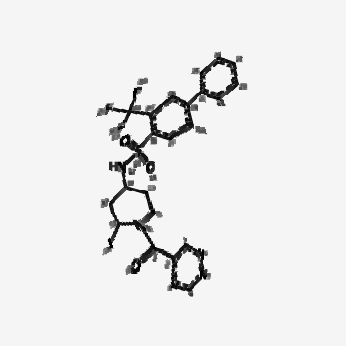 O=C(c1ccnnc1)N1CCC(NS(=O)(=O)c2ccc(-c3ccccc3)cc2C(F)(F)F)CC1I